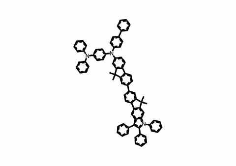 CC1(C)c2cc(-c3ccc4c(c3)C(C)(C)c3cc5c(cc3-4)c(-c3ccccc3)c(-c3ccccc3)n5-c3ccccc3)ccc2-c2ccc(N(c3ccc(-c4ccccc4)cc3)c3ccc(N(c4ccccc4)c4ccccc4)cc3)cc21